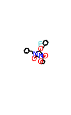 O=C1CN(C(=O)c2ccco2)CC(OCc2ccccc2F)CN1CCc1ccccc1